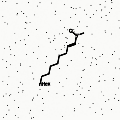 CCCCCCCCCCCCC=C[S+](C)[O-]